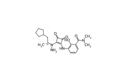 C[C@H](CC1CCCC1)N(N)c1c(Nc2cccc(C(=O)N(C)C)c2O)c(=O)c1=O